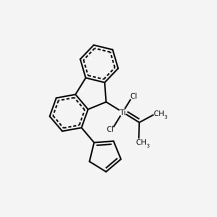 C[C](C)=[Ti]([Cl])([Cl])[CH]1c2ccccc2-c2cccc(C3=CC=CC3)c21